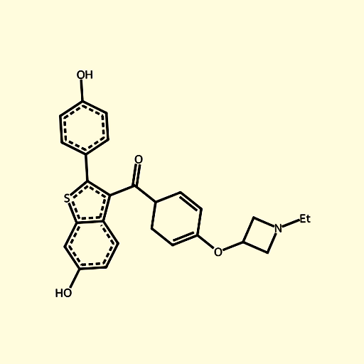 CCN1CC(OC2=CCC(C(=O)c3c(-c4ccc(O)cc4)sc4cc(O)ccc34)C=C2)C1